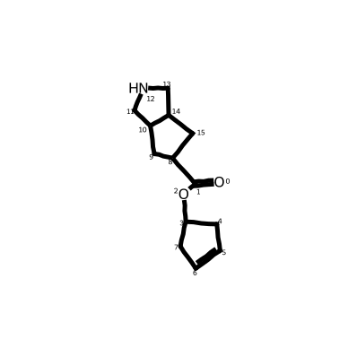 O=C(OC1CC=CC1)C1CC2CNCC2C1